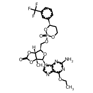 CCOc1nc(N)nc2c1ncn2[C@@H]1O[C@H](CO[P@]2(=O)OCC[C@H](c3cccc(C(F)(F)F)c3)O2)[C@H]2OC(=O)O[C@]21C